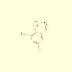 O/N=C\c1cc(Br)cc(Br)c1O